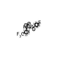 O=C(OCn1c(-c2cc(C(F)(F)F)ccn2)noc1=O)c1ccc(F)cc1